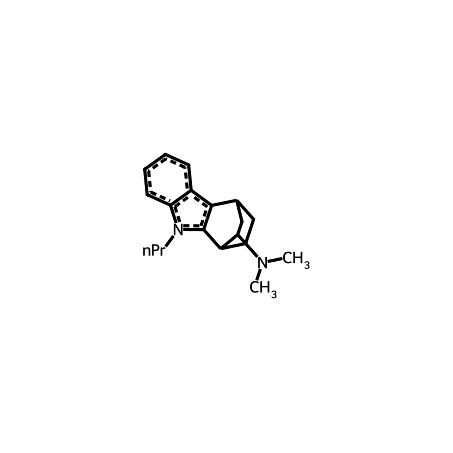 CCCn1c2c(c3ccccc31)C1CCC2C(N(C)C)C1